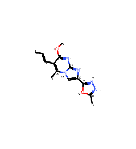 CC=Cc1c(OC)nc2nc(-c3nnc(C)o3)cn2c1C